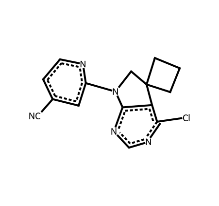 N#Cc1ccnc(N2CC3(CCC3)c3c(Cl)ncnc32)c1